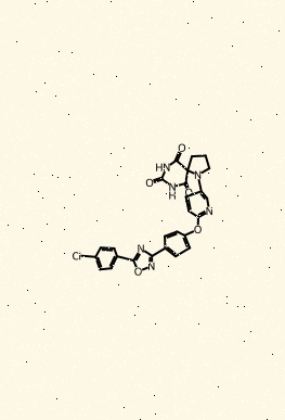 O=C1NC(=O)C2(CCCN2c2ccc(Oc3ccc(-c4noc(-c5ccc(Cl)cc5)n4)cc3)nc2)C(=O)N1